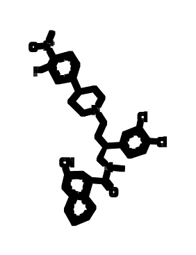 CN(C[C@@H](CCN1CCC(c2ccc([S+](C)[O-])c(F)c2)CC1)c1ccc(Cl)c(Cl)c1)C(=O)c1cc(C#N)cc2ccccc12